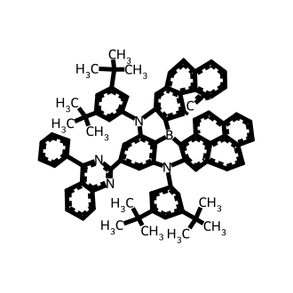 CC(C)(C)c1cc(N2c3cc(-c4nc(-c5ccccc5)c5ccccc5n4)cc4c3B(c3c2cc2ccc5cccc6ccc3c2c56)c2c(cc3ccc5cccc6ccc2c3c56)N4c2cc(C(C)(C)C)cc(C(C)(C)C)c2)cc(C(C)(C)C)c1